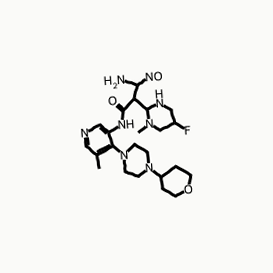 Cc1cncc(NC(=O)C(C(N)N=O)C2NCC(F)CN2C)c1N1CCN(C2CCOCC2)CC1